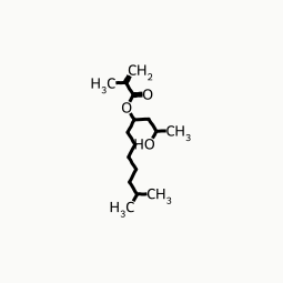 C=C(C)C(=O)OC(CCCCCC(C)C)CC(C)O